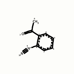 CC(=O)c1ccccc1[N+]#N